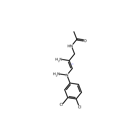 CC(=O)NC/C(N)=C/N(N)c1ccc(Cl)c(Cl)c1